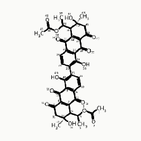 CC(=O)OC(C)C1C2=C(C(=O)C[C@]1(C)O)C(=O)c1c(ccc(-c3ccc4c(c3O)C(=O)C3=C(C4=O)C(C(C)OC(C)=O)[C@@](C)(O)CC3=O)c1O)C2=O